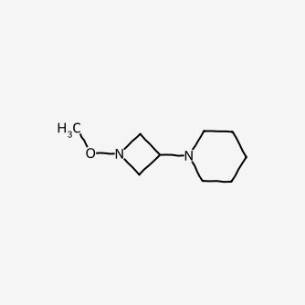 CON1CC(N2CCCCC2)C1